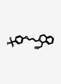 OCC1c2ccccc2CCN1CCCOc1ccc(C(F)(F)F)cc1